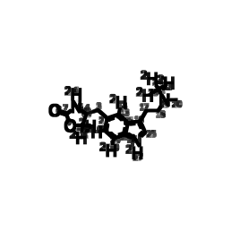 [2H]c1c(C[C@@H]2N([2H])C(=O)OC2([2H])[2H])c([2H])c2c(CCN(C)C([2H])([2H])[2H])cn([2H])c2c1[2H]